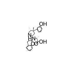 C[C@@H](NC(=O)[C@@H](Cc1ccccc1)CN1CC[C@@](C)(c2cccc(O)c2)[C@@H](C)C1)C(=O)O